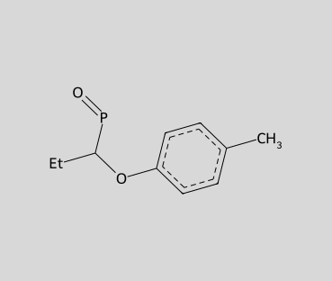 CCC(Oc1ccc(C)cc1)P=O